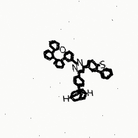 C1=CC2c3ccccc3Oc3ccc(-c4nc(-c5ccc(C67CC8C[C@H](C6)C[C@@H](C8)C7)cc5)cc(-c5ccc6sc7ccccc7c6c5)n4)cc3-c3ccccc3C2C=C1